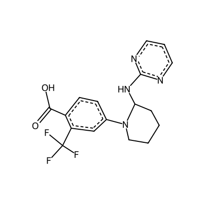 O=C(O)c1ccc(N2CCCCC2Nc2ncccn2)cc1C(F)(F)F